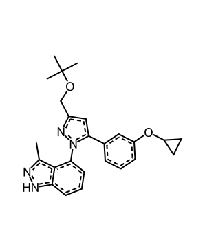 Cc1n[nH]c2cccc(-n3nc(COC(C)(C)C)cc3-c3cccc(OC4CC4)c3)c12